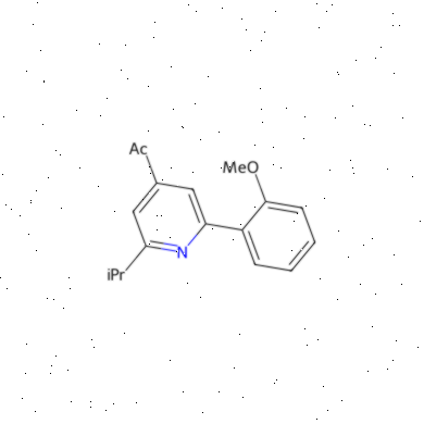 COc1ccccc1-c1cc(C(C)=O)cc(C(C)C)n1